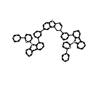 C1=CC(c2cccc(-c3cccc4c5ccccc5n(-c5cccc(-c6ccccc6)n5)c34)c2)Cc2c1sc1ccc(-c3cccc(-c4cccc5c6ccccc6n(-c6cccc(-c7ccccc7)n6)c45)c3)cc21